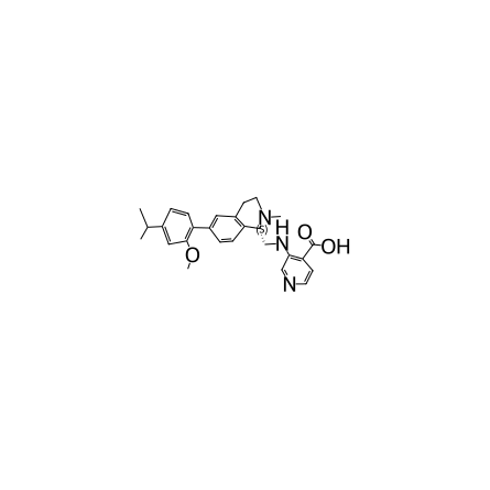 COc1cc(C(C)C)ccc1-c1ccc2c(c1)CCN(C)[C@@H]2CNc1cnccc1C(=O)O